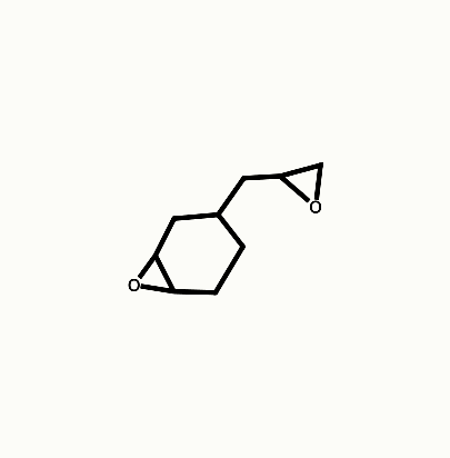 C1CC2OC2CC1CC1CO1